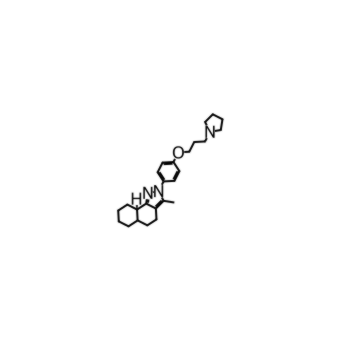 Cc1c2c(nn1-c1ccc(OCCCN3CCCC3)cc1)[C@H]1CCCCC1CC2